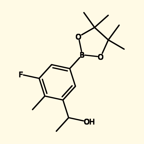 Cc1c(F)cc(B2OC(C)(C)C(C)(C)O2)cc1C(C)O